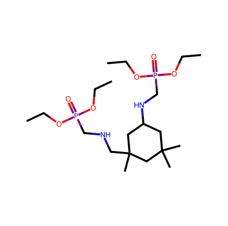 CCOP(=O)(CNCC1(C)CC(NCP(=O)(OCC)OCC)CC(C)(C)C1)OCC